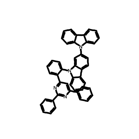 c1ccc(-c2cc(-c3ccccc3-n3c4ccccc4c4ccc(-n5c6ccccc6c6ccccc65)cc43)nc(-c3ccccc3)n2)cc1